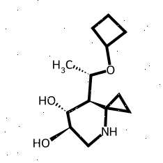 C[C@H](OC1CCC1)[C@@H]1[C@@H](O)[C@H](O)CNC12CC2